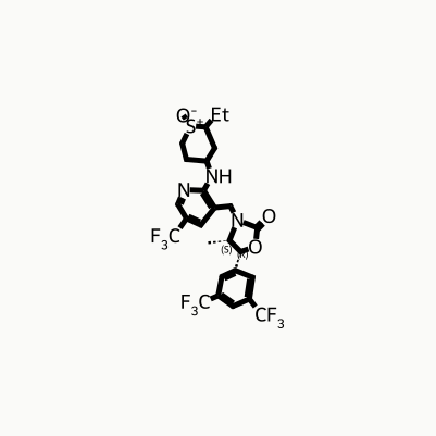 CCC1CC(Nc2ncc(C(F)(F)F)cc2CN2C(=O)O[C@H](c3cc(C(F)(F)F)cc(C(F)(F)F)c3)[C@@H]2C)CC[S+]1[O-]